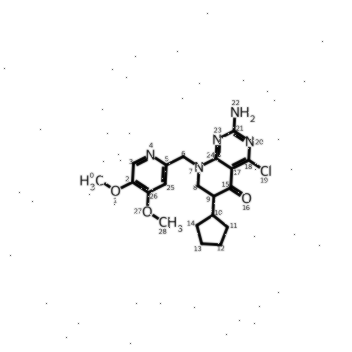 COc1cnc(CN2CC(C3CCCC3)C(=O)c3c(Cl)nc(N)nc32)cc1OC